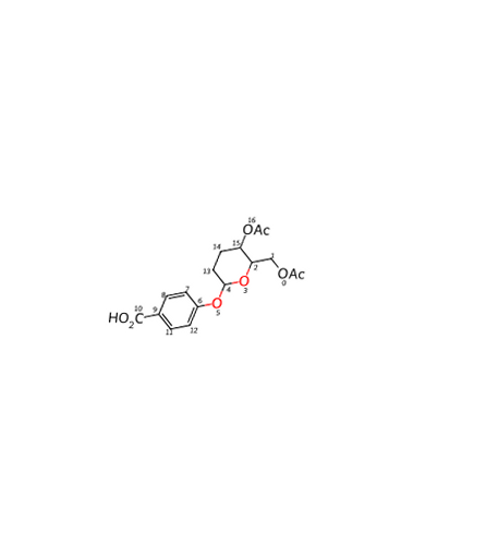 CC(=O)OCC1OC(Oc2ccc(C(=O)O)cc2)CCC1OC(C)=O